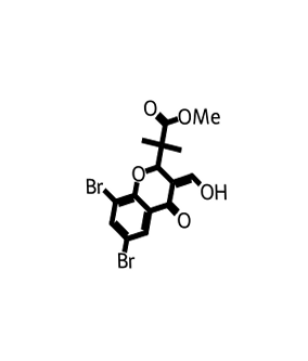 COC(=O)C(C)(C)C1Oc2c(Br)cc(Br)cc2C(=O)/C1=C\O